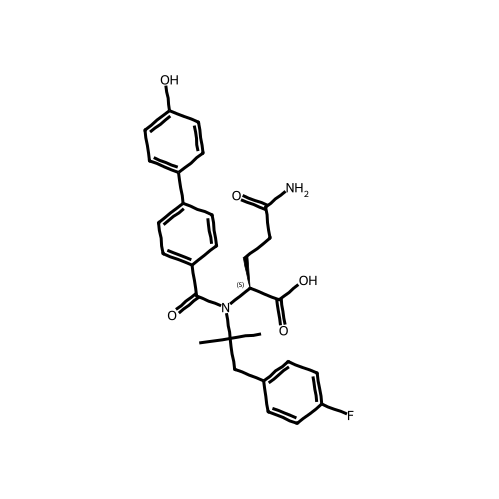 CC(C)(Cc1ccc(F)cc1)N(C(=O)c1ccc(-c2ccc(O)cc2)cc1)[C@@H](CCC(N)=O)C(=O)O